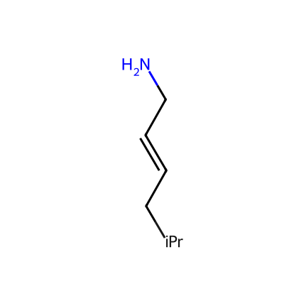 CC(C)CC=CCN